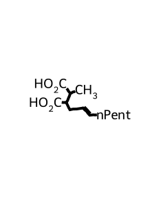 CCCCCC=CCC(C(=O)O)C(C)C(=O)O